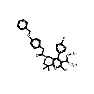 CC(C)c1nc2c(c(-c3ccc(F)cc3)c1C(OC(C)(C)C)C(=O)O)CN(C(=O)Cc1ccc(OCc3ccccc3)cc1)CC2(C)C